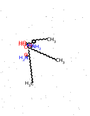 CC/C=C/C/C=C/C/C=C/C/C=C/C/C=C/CCC(CCCC[C@H](C(=O)NC(CO)(CO)CCc1ccc(CCCCCCCC)cc1)C(CC/C=C/C/C=C/C/C=C/C/C=C/C/C=C/CC)C(N)=O)C(N)=O